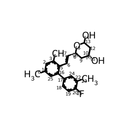 Cc1cc(C)c(C=C[C@@H]2C[C@@H](O)CC(O)O2)c(-c2ccc(F)c(C)c2)c1